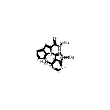 CCCCNC(=O)c1cc2ccccc2n1-c1nn(C(C)(C)C)c2ncnc(N)c12